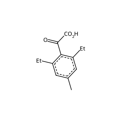 CCc1cc(C)cc(CC)c1C(=O)C(=O)O